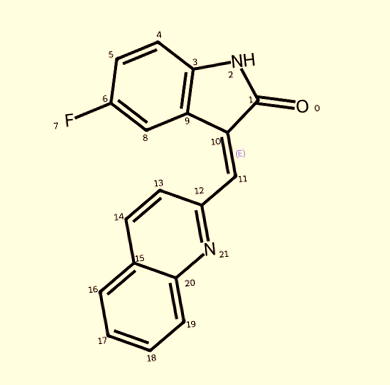 O=C1Nc2ccc(F)cc2/C1=C\c1ccc2ccccc2n1